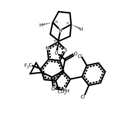 O=C(O)c1cc(C(F)(F)F)c2nc(N3[C@@H]4CC[C@H]3C[C@@H](OC(=O)c3c(-c5c(Cl)cccc5Cl)noc3C3CC3)C4)sc2c1